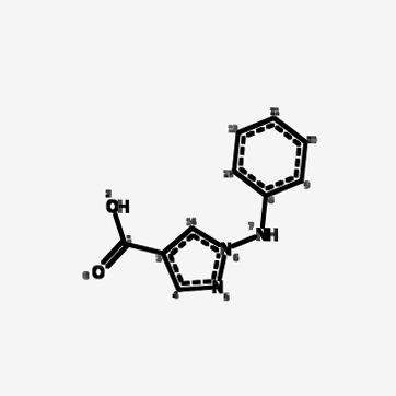 O=C(O)c1cnn(Nc2ccccc2)c1